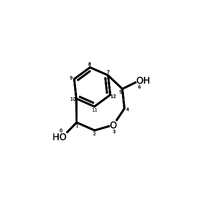 OC1COCC(O)c2ccc1cc2